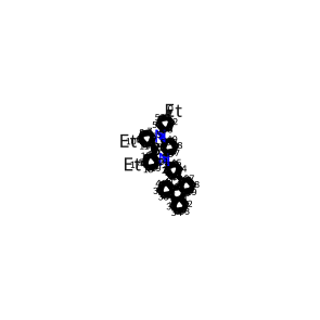 CCc1ccc(N2c3ccc(CC)cc3B3c4cc(CC)ccc4N(c4ccc(-c5cccc6c7ccccc7c7ccccc7c56)cc4)c4cccc2c43)cc1